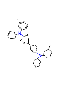 Cc1cc#cc(N(c2ccccc2)c2ccc(-c3ccc(N(c4ccccc4)c4cccc(C)c4)cc3)cc2)c1